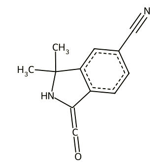 CC1(C)NC(=C=O)c2ccc(C#N)cc21